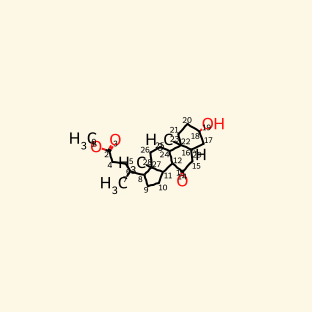 COC(=O)CCC(C)C1CCC2C3C(=O)C[C@@H]4C[C@H](O)CCC4(C)C3CCC12C